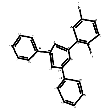 Fc1ccc(F)c(-c2cc(-c3ccccc3)cc(-c3ccccc3)c2)c1